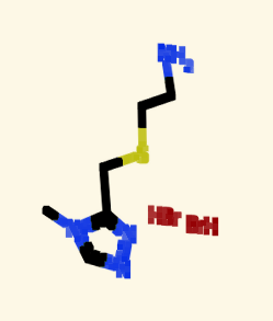 Br.Br.Cn1cnnc1CSCCN